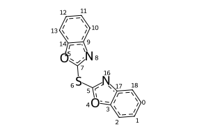 c1ccc2oc(Sc3nc4ccccc4o3)nc2c1